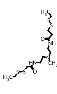 CCSSCCC(=O)NCCN(C)CCNC(=O)CSSCC